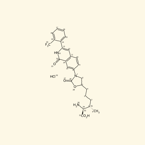 C[C@@H](CCCC1CN(c2ccc3cc(-c4ccccc4C(F)(F)F)[nH]c(=O)c3c2)C(=O)O1)[C@H](N)C(=O)O.Cl